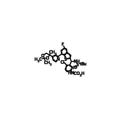 CC1(C)OCC(C)(c2ccnc(-c3cc(F)cc4cc(C(N[S+]([O-])C(C)(C)C)c5nc(NC(=O)O)ccc5Cl)sc34)c2)O1